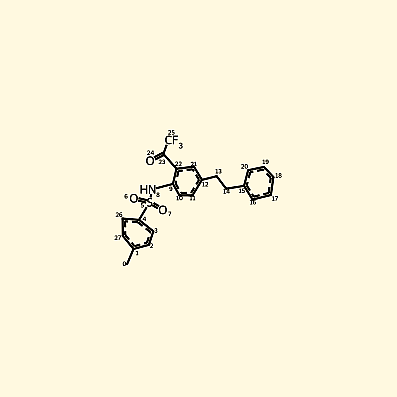 Cc1ccc(S(=O)(=O)Nc2ccc(CCc3ccccc3)cc2C(=O)C(F)(F)F)cc1